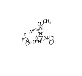 C=CC(=O)N1CCN(c2nc(OC[C@@H]3CCCN3CC(F)F)nc3c2CN(C2CCc4ccccc42)C3)C[C@@H]1CC#N